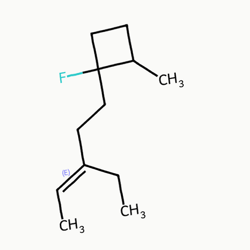 C/C=C(\CC)CCC1(F)CCC1C